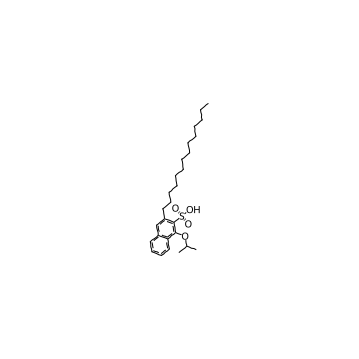 CCCCCCCCCCCCCCc1cc2ccccc2c(OC(C)C)c1S(=O)(=O)O